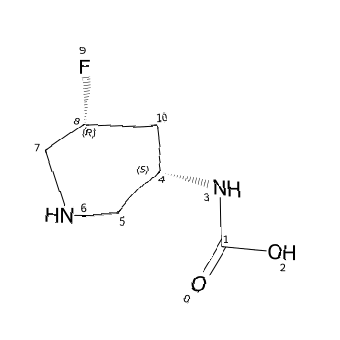 O=C(O)N[C@@H]1CNC[C@H](F)C1